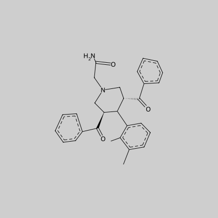 Cc1cccc(C2[C@@H](C(=O)c3ccccc3)CN(CC(N)=O)C[C@@H]2C(=O)c2ccccc2)c1C